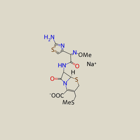 CO/N=C(\C(=O)NC1C(=O)N2C(C(=O)[O-])=C(CSC)CS[C@H]12)c1csc(N)n1.[Na+]